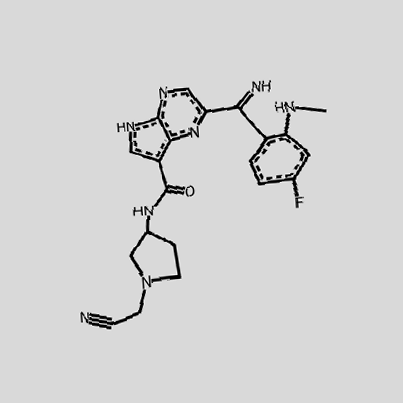 CNc1cc(F)ccc1C(=N)c1cnc2[nH]cc(C(=O)NC3CCN(CC#N)C3)c2n1